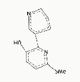 CSc1ccc(O)c(-c2cccnc2)n1